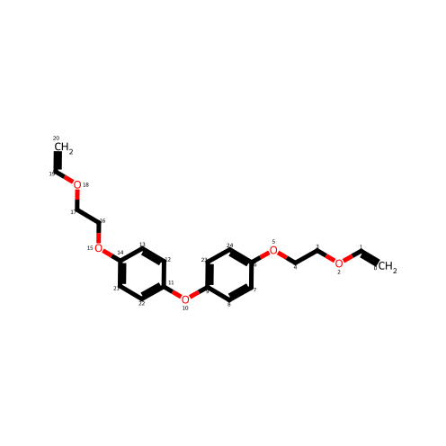 C=COCCOc1ccc(Oc2ccc(OCCOC=C)cc2)cc1